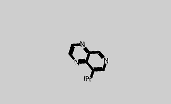 CC(C)c1cncc2nccnc12